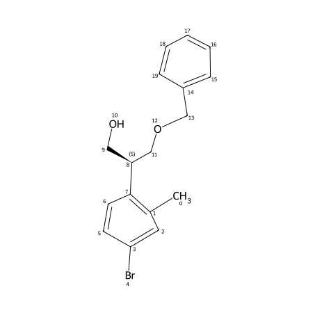 Cc1cc(Br)ccc1[C@@H](CO)COCc1ccccc1